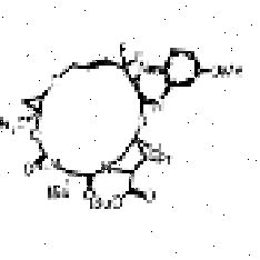 CC[C@@H]1[C@@H]2CN(C(=O)[C@H](C(C)(C)C)NC(=O)O[C@]3(C)CC3CC/C=C/C(F)(F)c3nc4ccc(OC)cc4nc3O2)[C@@H]1C(=O)OCC(C)C